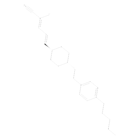 CCCCCc1ccc(CC[C@H]2CC[C@H](C=CC=C(F)C#N)CC2)cc1